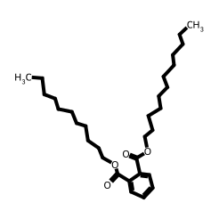 CCCCCCCCCCCCOC(=O)c1ccccc1C(=O)OCCCCCCCCCCC